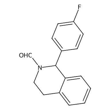 O=CN1CCc2ccccc2C1c1ccc(F)cc1